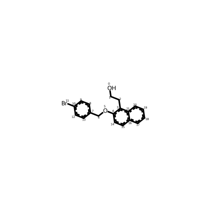 OCCc1c(OCc2ccc(Br)cc2)ccc2ccccc12